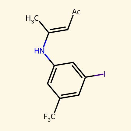 CC(=O)C=C(C)Nc1cc(I)cc(C(F)(F)F)c1